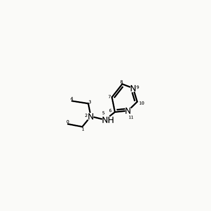 CCN(CC)Nc1ccncn1